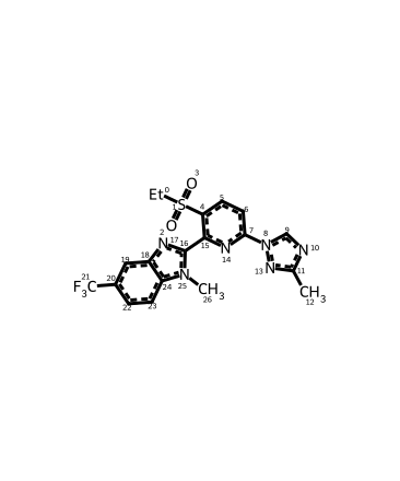 CCS(=O)(=O)c1ccc(-n2cnc(C)n2)nc1-c1nc2cc(C(F)(F)F)ccc2n1C